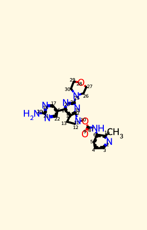 Cc1ncccc1NC(=O)ON1CCc2c(-c3cnc(N)nc3)nc(N3CCOCC3)nc21